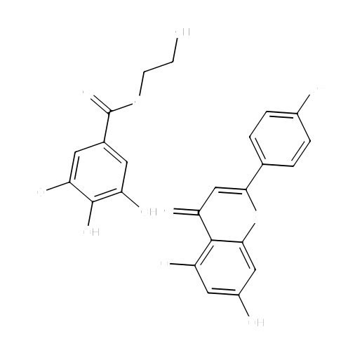 CCCOC(=O)c1cc(O)c(O)c(O)c1.O=c1cc(-c2ccc(O)cc2)oc2cc(O)cc(O)c12